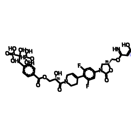 N=C(/C=C\O)OC[C@H]1CN(c2cc(F)c(C3=CCN(C(=O)[C@@H](O)COC(=O)c4ccc(CC(O)(P(=O)(O)O)[PH](O)(O)O)cc4)CC3)c(F)c2)C(=O)O1